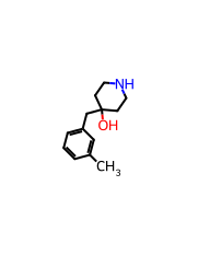 Cc1cccc(CC2(O)CCNCC2)c1